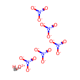 O=[N+]([O-])[O-].O=[N+]([O-])[O-].O=[N+]([O-])[O-].O=[N+]([O-])[O-].O=[N+]([O-])[O-].[Bi+3].[OH4+2]